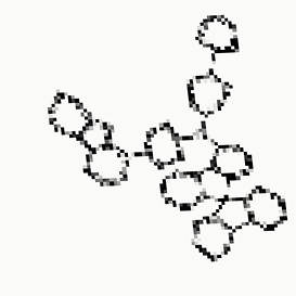 c1ccc(-c2ccc(N(c3ccc(-c4cccc5c4sc4ccccc45)cc3)c3cccc4c3-c3ccccc3C43c4ccccc4-c4ccccc43)cc2)cc1